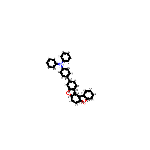 c1ccc(N(c2ccccc2)c2ccc(-c3ccc4c(c3)oc3ccc5oc6ccccc6c5c34)cc2)cc1